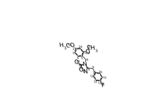 COc1ccc(Cn2c(Cc3ccc(F)cc3)noc2=O)c(OC)c1